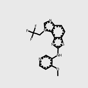 COc1ccncc1Nc1nc2c(ccc3ncn(CC(F)(F)F)c32)s1